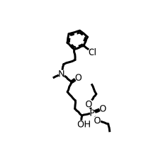 CCOP(=O)(OCC)C(O)CCCC(=O)N(C)CCc1ccccc1Cl